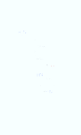 CC(C)(CN)c1ccc(C(=O)Nc2ccncc2)cc1